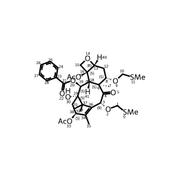 CSCO[C@H]1C(=O)[C@]2(C)[C@@H](OCSC)C[C@H]3OC[C@@]3(OC(C)=O)[C@H]2[C@H](OC(=O)c2ccccc2)[C@]2(O)C[C@H](OC(C)=O)C(C)=C1C2(C)C